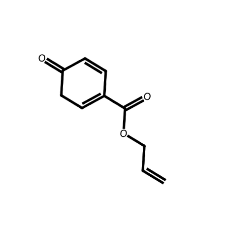 C=CCOC(=O)C1=CCC(=O)C=C1